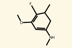 CNC1=CC(OC)=C(F)C(C)C1